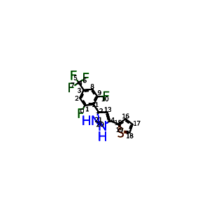 Fc1cc(C(F)(F)F)cc(F)c1C1C=C(c2cccs2)NN1